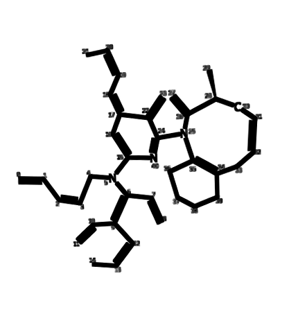 C=C/C=C\CN(/C(C=C)=C(C=C)/C=C\C)c1c/c(=C/C=C\C)c(=C)c(N2C(=C)[C@@H](C)C/C=C\CC3=C2CCCC3)n1